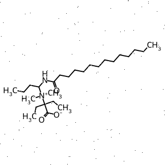 CCCCCCCCCCCCCC(=O)NC(CCC)[N+](C)(C)C(CC)(CC)C(=O)[O-]